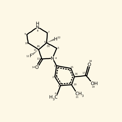 Cc1cc(N2C[C@@H]3CNCC[C@]3(F)C2=O)cc(C(=O)O)c1C